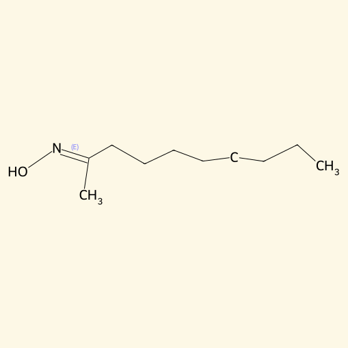 CCCCCCCC/C(C)=N/O